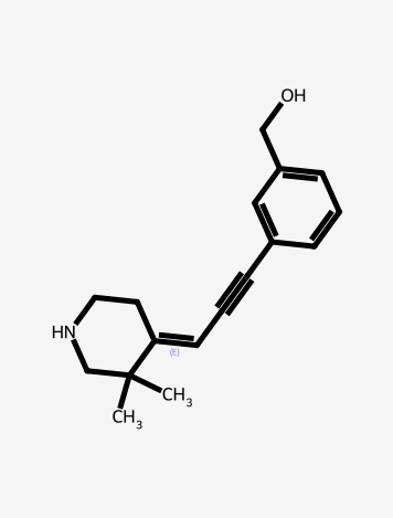 CC1(C)CNCC/C1=C\C#Cc1cccc(CO)c1